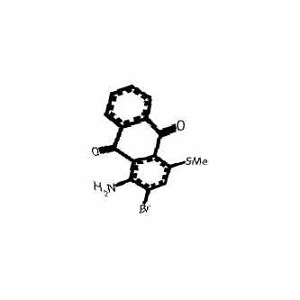 CSc1cc(Br)c(N)c2c1C(=O)c1ccccc1C2=O